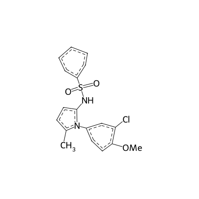 COc1ccc(-n2c(C)ccc2NS(=O)(=O)c2ccccc2)cc1Cl